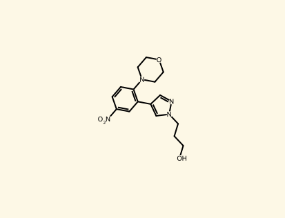 O=[N+]([O-])c1ccc(N2CCOCC2)c(-c2cnn(CCCO)c2)c1